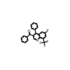 O=C(c1ccccc1)c1cnc2c(C(F)(F)F)cc(F)cc2c1-c1ccccc1